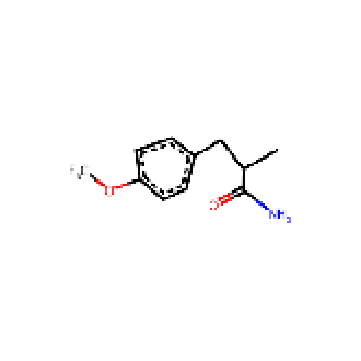 CC(Cc1ccc(OC(F)(F)F)cc1)C(N)=O